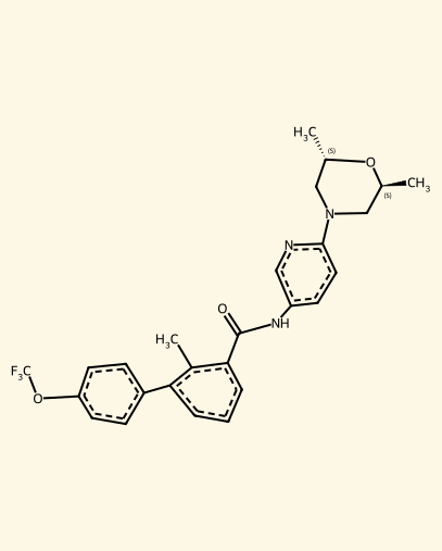 Cc1c(C(=O)Nc2ccc(N3C[C@H](C)O[C@@H](C)C3)nc2)cccc1-c1ccc(OC(F)(F)F)cc1